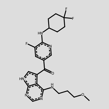 COCCCNc1ncnc2[nH]cc(C(=O)c3cnc(NC4CCC(F)(F)CC4)c(F)c3)c12